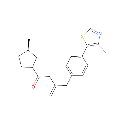 C=C(CC(=O)C1CC[C@@H](C)C1)Cc1ccc(-c2scnc2C)cc1